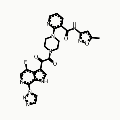 Cc1cc(NC(=O)c2cccnc2N2CCN(C(=O)C(=O)c3c[nH]c4c(-n5ccnn5)ncc(F)c34)CC2)no1